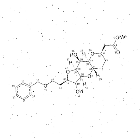 COC(=O)C[C@H]1CC[C@@H]2O[C@H]3C(O)[C@@H](CCOCc4ccccc4)O[C@H]3[C@@H](O)[C@H]2O1